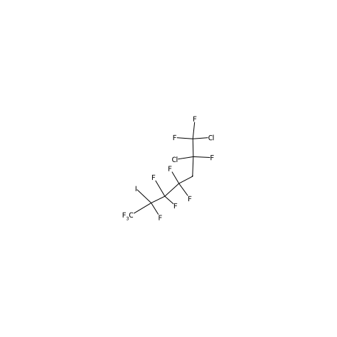 FC(F)(F)C(F)(I)C(F)(F)C(F)(F)CC(F)(Cl)C(F)(F)Cl